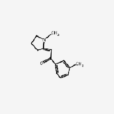 Cc1cccc(C(=O)C=C2CCCN2C)c1